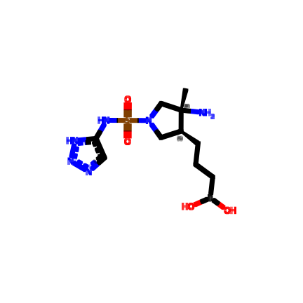 C[C@]1(N)CN(S(=O)(=O)Nc2cnn[nH]2)C[C@@H]1CCCB(O)O